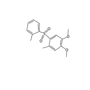 COc1cc(C)c(S(=O)(=O)c2ccccc2C)cc1OC